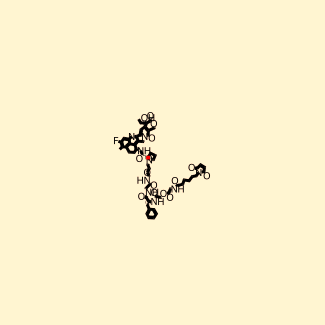 CC[C@@]1(O)C(=O)OCc2c1cc1n(c2=O)Cc2c-1nc1cc(F)c(C)c3c1c2[C@@H](NC(=O)[C@@H]1CCCN1CCOCNC(=O)CNC(=O)[C@H](Cc1ccccc1)NC(=O)COC(=O)CNC(=O)CCCCCN1C(=O)C=CC1=O)CC3